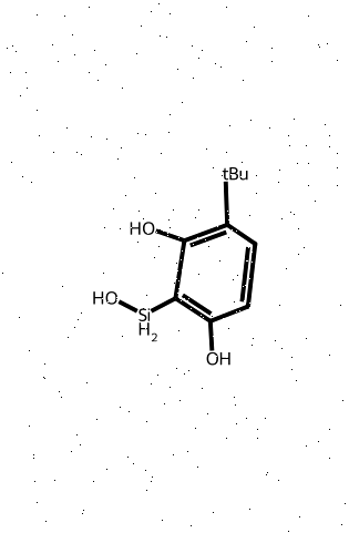 CC(C)(C)c1ccc(O)c([SiH2]O)c1O